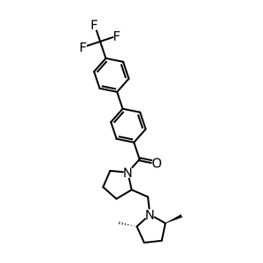 C[C@H]1CC[C@H](C)N1CC1CCCN1C(=O)c1ccc(-c2ccc(C(F)(F)F)cc2)cc1